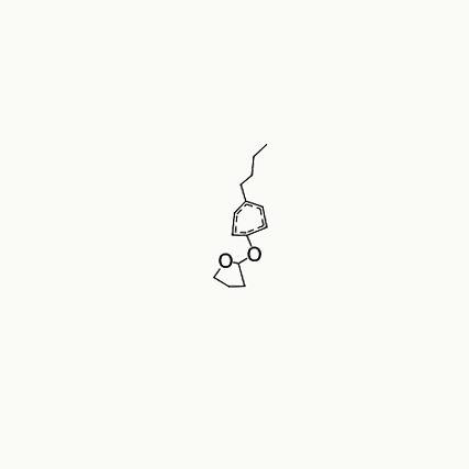 CCCCc1ccc(OC2CCCO2)cc1